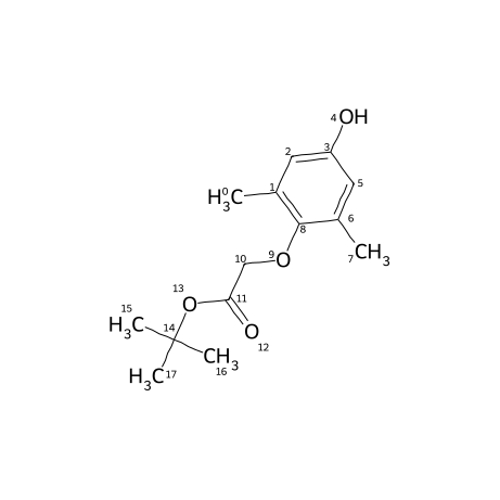 Cc1cc(O)cc(C)c1OCC(=O)OC(C)(C)C